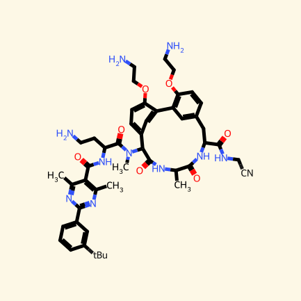 Cc1nc(-c2cccc(C(C)(C)C)c2)nc(C)c1C(=O)NC(CCN)C(=O)N(C)C1C(=O)NC(C)C(=O)NC(C(=O)NCC#N)Cc2ccc(OCCN)c(c2)-c2cc1ccc2OCCN